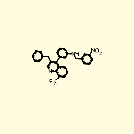 O=[N+]([O-])c1cccc(CNc2cccc(-c3c(Cc4ccccc4)cnc4c(C(F)(F)F)cccc34)c2)c1